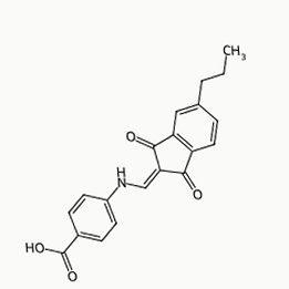 CCCc1ccc2c(c1)C(=O)/C(=C\Nc1ccc(C(=O)O)cc1)C2=O